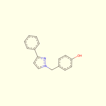 Oc1ccc(Cn2ccc(-c3ccccc3)n2)cc1